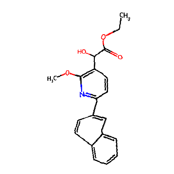 CCOC(=O)C(O)c1ccc(-c2ccc3ccccc3c2)nc1OC